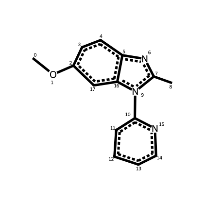 COc1ccc2nc(C)n(-c3ccccn3)c2c1